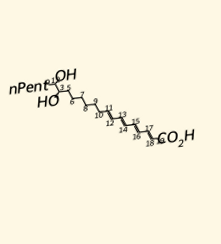 CCCCCC(O)C(O)CCCCCCC=CC=CC=CC=CC(=O)O